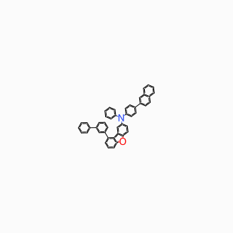 c1ccc(-c2cccc(-c3cccc4oc5ccc(N(c6ccccc6)c6ccc(-c7ccc8ccccc8c7)cc6)cc5c34)c2)cc1